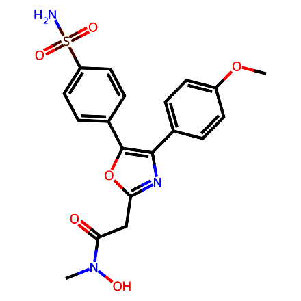 COc1ccc(-c2nc(CC(=O)N(C)O)oc2-c2ccc(S(N)(=O)=O)cc2)cc1